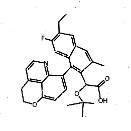 CCc1cc2cc(C)c(C(OC(C)(C)C)C(=O)O)c(-c3ccc4c5c(ccnc35)CCO4)c2cc1F